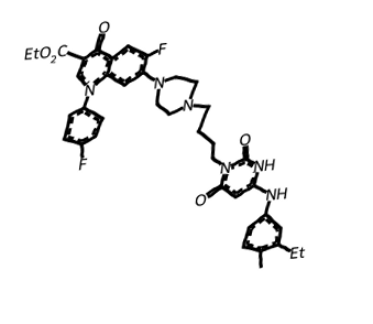 CCOC(=O)c1cn(-c2ccc(F)cc2)c2cc(N3CCN(CCCCn4c(=O)cc(Nc5ccc(C)c(CC)c5)[nH]c4=O)CC3)c(F)cc2c1=O